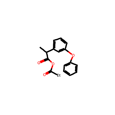 CCC(=O)OC(=O)C(C)c1cccc(Oc2ccccc2)c1